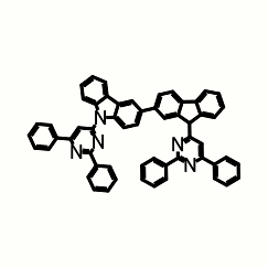 c1ccc(-c2cc(C3c4ccccc4-c4ccc(-c5ccc6c(c5)c5ccccc5n6-c5cc(-c6ccccc6)nc(-c6ccccc6)n5)cc43)nc(-c3ccccc3)n2)cc1